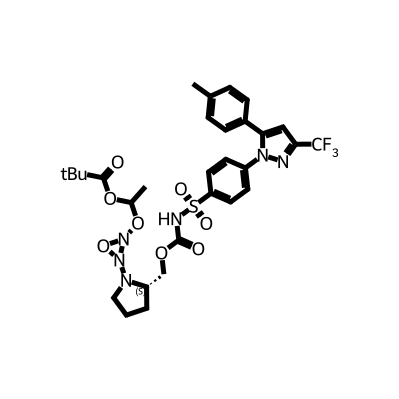 Cc1ccc(-c2cc(C(F)(F)F)nn2-c2ccc(S(=O)(=O)NC(=O)OC[C@@H]3CCCN3n3on3OC(C)OC(=O)C(C)(C)C)cc2)cc1